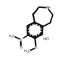 COc1cc2c(cc1[S+](C)[O-])CCNCC2.Cl